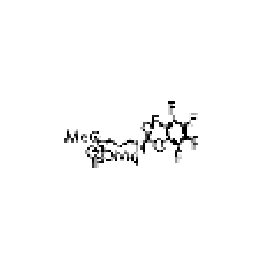 CO[Si](CCCNC(=O)Oc1c(F)c(F)c(F)c(F)c1F)(OC)OC(C)C